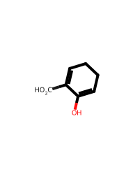 O=C(O)C1=CCCC=C1O